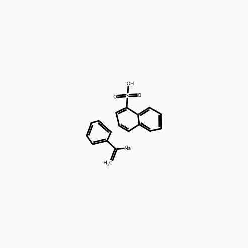 C=[C]([Na])c1ccccc1.O=S(=O)(O)c1cccc2ccccc12